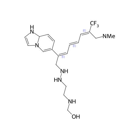 CNC\C(=C/C=C/C=C(/CNNCCNCO)C1=CN2C=CNC2C=C1)C(F)(F)F